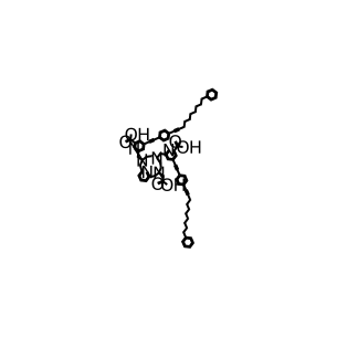 O=C(O)CN1CCN(Cc2cc(C#Cc3ccc(C#CCCCCCCCCc4ccccc4)cc3)cc(C(=O)O)n2)CCN(Cc2cc(C#Cc3ccc(C#CCCCCCCCCc4ccccc4)cc3)cc(C(=O)O)n2)Cc2cccc(n2)C1